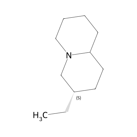 CC[C@H]1CCC2CCCCN2C1